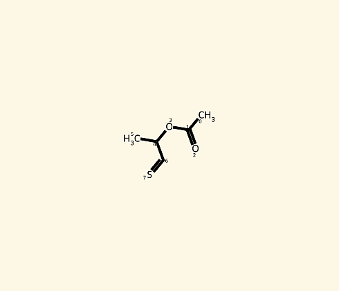 CC(=O)OC(C)C=S